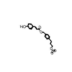 O=C(/C=C/c1ccc(O)cc1)OCc1ccc(CCCO[N+](=O)[O-])cc1